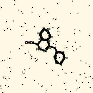 O=CC1NN=C(Cc2ccccc2)c2ccccc21